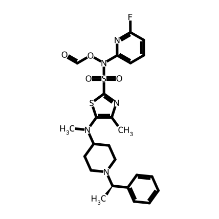 Cc1nc(S(=O)(=O)N(OC=O)c2cccc(F)n2)sc1N(C)C1CCN([C@H](C)c2ccccc2)CC1